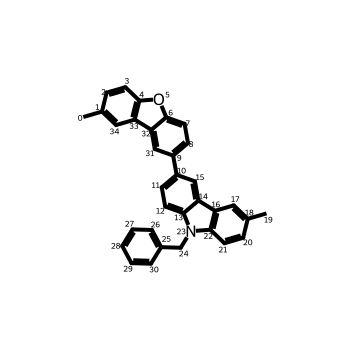 Cc1ccc2oc3ccc(-c4ccc5c(c4)c4cc(C)ccc4n5Cc4ccccc4)cc3c2c1